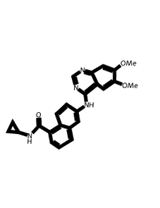 COc1cc2ncnc(Nc3ccc4c(C(=O)NC5CC5)cccc4c3)c2cc1OC